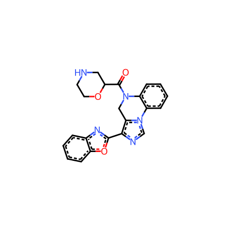 O=C(C1CNCCO1)N1Cc2c(-c3nc4ccccc4o3)ncn2-c2ccccc21